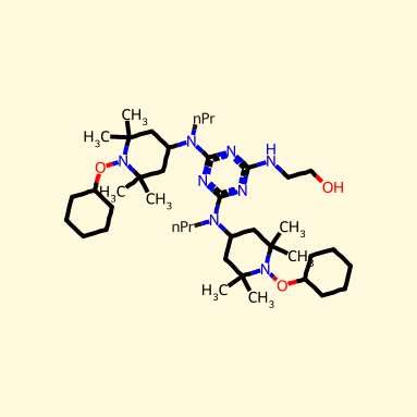 CCCN(c1nc(NCCO)nc(N(CCC)C2CC(C)(C)N(OC3CCCCC3)C(C)(C)C2)n1)C1CC(C)(C)N(OC2CCCCC2)C(C)(C)C1